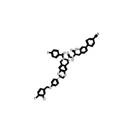 N#Cc1ccc(-c2ccc(CC(NC(=O)[C@@H]3Cc4cc5c(cc4CN3C(=O)c3ccc(F)cc3)O[C@@H](c3ccc(OCc4ccc(Cl)c(Cl)c4)cc3)CO5)C(=O)O)cc2)cc1